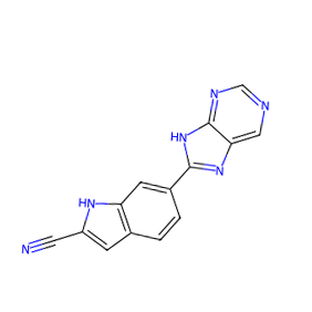 N#Cc1cc2ccc(-c3nc4cncnc4[nH]3)cc2[nH]1